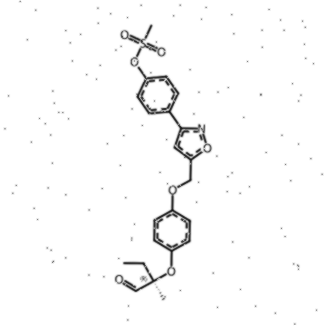 CC[C@](C)(C=O)Oc1ccc(OCc2cc(-c3ccc(OS(C)(=O)=O)cc3)no2)cc1